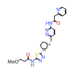 COCCC(=O)Nc1nnc([C@@H]2CC[C@H](Cc3ccc(NC(=O)Cc4ccccn4)nn3)C2)s1